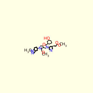 COCC1C(CN(C(=O)C2CCCC(O)C2)c2cncc(/C=C/C(=O)OC)c2)CCN1c1ccc2c(cnn2C)c1